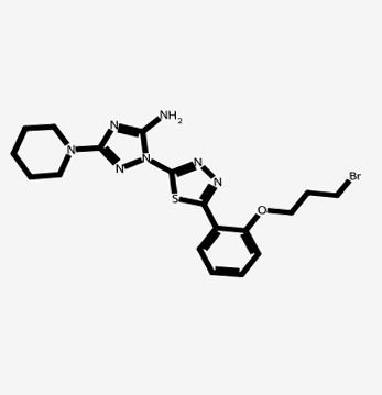 Nc1nc(N2CCCCC2)nn1-c1nnc(-c2ccccc2OCCCBr)s1